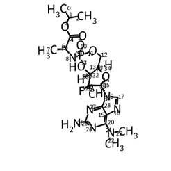 CC(C)OC(=O)[C@H](C)N[P@]1(=O)OC[C@H]2O[C@@H](n3cnc4c(N(C)C)nc(N)nc43)[C@](C)(F)[C@@H]2O1